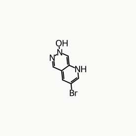 ON1C=C2NC=C(Br)C=C2C=N1